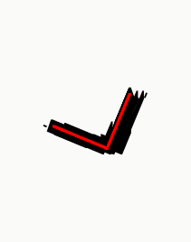 [Au].[Au].[Au].[Au].[Au].[Au].[Au].[Au].[Au].[Au].[Au].[Au].[Au].[Au].[Au].[Au].[Au].[Au].[Au].[Au].[Au].[Au].[Au].[Au].[Au].[Au].[Au].[Au].[Au].[Au].[Au].[Au].[Au].[Au].[Au].[Au].[Au].[Au].[Au].[Au].[Au].[Au].[Au].[Au].[Au].[Au].[Au].[Au].[Au].[Au].[Au].[Au].[Au].[Au].[Au].[Au].[Au].[Au].[Au].[Au].[Au].[Au].[Au].[Au].[Au].[Au].[Au].[Au].[Au].[Au].[Au].[Au].[Au].[KH].[KH].[KH].[KH].[KH].[KH].[KH].[KH].[KH].[KH].[KH].[KH].[KH].[KH].[KH].[KH].[KH].[KH].[KH].[KH].[KH].[KH].[KH].[KH].[KH].[KH].[KH].[KH].[KH].[KH].[KH].[KH].[KH].[KH].[KH].[KH].[KH].[KH].[KH].[KH].[KH].[KH].[KH].[KH]